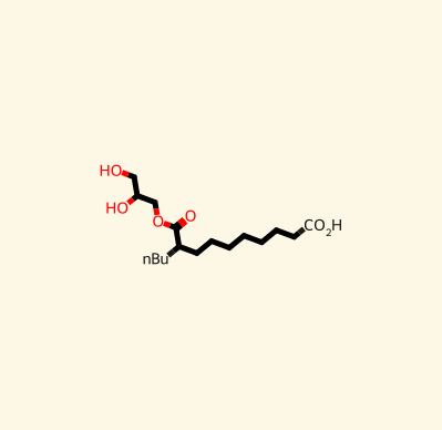 CCCCC(CCCCCCCC(=O)O)C(=O)OCC(O)CO